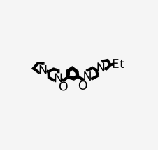 CCC1CCN(C2CCN(C(=O)c3cccc(C(=O)N4CCC(N5CCCC5)CC4)c3)CC2)C1